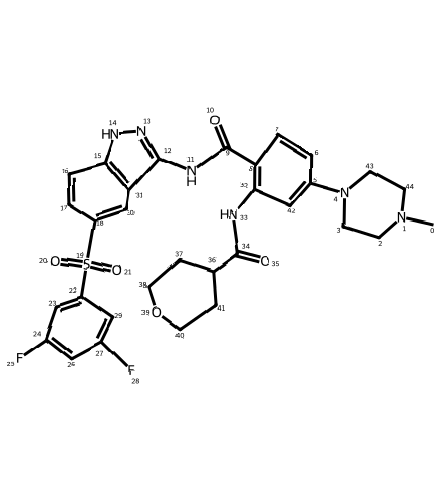 CN1CCN(c2ccc(C(=O)Nc3n[nH]c4ccc(S(=O)(=O)c5cc(F)cc(F)c5)cc34)c(NC(=O)C3CCOCC3)c2)CC1